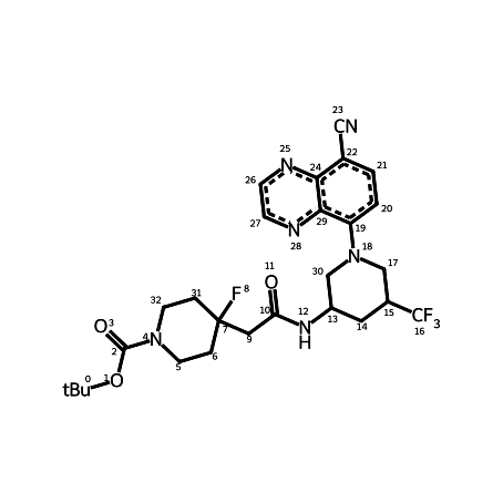 CC(C)(C)OC(=O)N1CCC(F)(CC(=O)NC2CC(C(F)(F)F)CN(c3ccc(C#N)c4nccnc34)C2)CC1